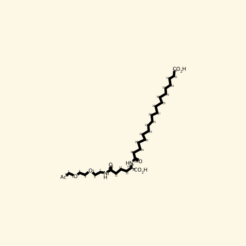 CC(=O)COCCOCCNC(=O)CCC[C@H](NC(=O)CCCCCCCCCCCCCCCCCCC(=O)O)C(=O)O